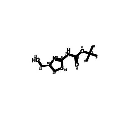 CC(C)(C)OC(=O)NC1=N[C@H](CO)CS1